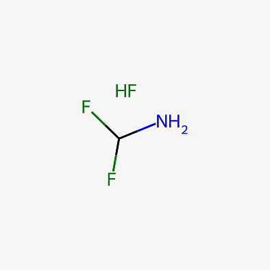 F.NC(F)F